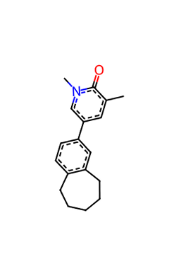 Cc1cc(-c2ccc3c(c2)CCCCC3)cn(C)c1=O